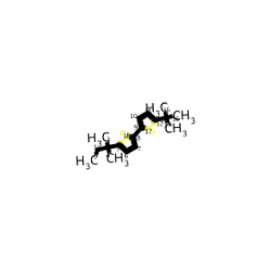 CCC(C)(C)c1ccc(-c2ccc(C(C)(C)C)s2)s1